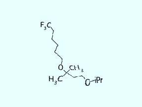 CC(C)OCCC(C)(C)OCCCCCC(F)(F)F